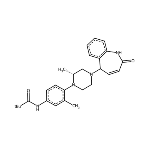 Cc1cc(NC(=O)C(C)(C)C)ccc1N1CCN(C2C=CC(=O)Nc3ccccc32)C[C@H]1C